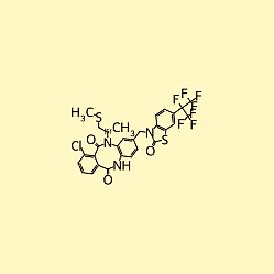 CSC[C@H](C)N1C(=O)c2c(Cl)cccc2C(=O)Nc2ccc(Cn3c(=O)sc4cc(C(F)(C(F)(F)F)C(F)(F)F)ccc43)cc21